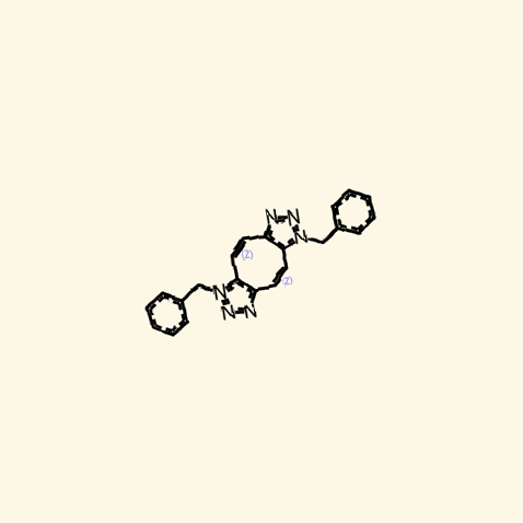 C1=C\c2c(nnn2Cc2ccccc2)/C=C\c2c/1nnn2Cc1ccccc1